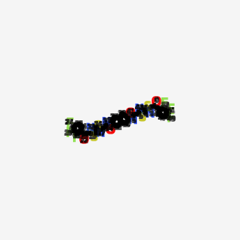 O=C(c1nc2sc(-c3nc4cc5cc6oc(-c7nc8sc(C(=O)c9ccc(F)c(F)c9F)nc8s7)nc6cc5cc4o3)nc2s1)c1ccc(F)c(F)c1F